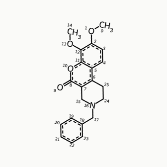 COc1ccc2c3c(c(=O)oc2c1OC)CN(Cc1ccccc1)CC3